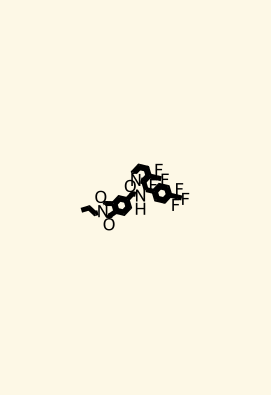 CCCN1C(=O)c2ccc(C(=O)NC(c3ccc(C(F)(F)F)cc3)c3ncccc3C(F)(F)F)cc2C1=O